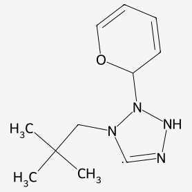 CC(C)(C)CN1[C]=NNN1C1C=CC=CO1